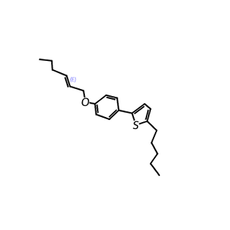 CCC/C=C/COc1ccc(-c2ccc(CCCCC)s2)cc1